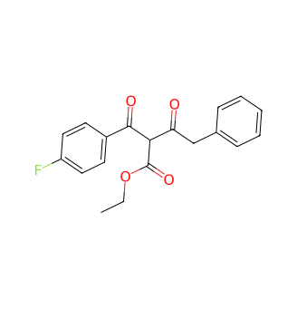 CCOC(=O)C(C(=O)Cc1ccccc1)C(=O)c1ccc(F)cc1